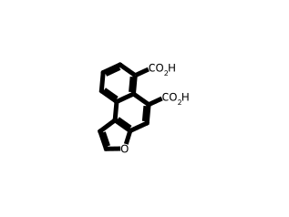 O=C(O)c1cccc2c1c(C(=O)O)cc1occc12